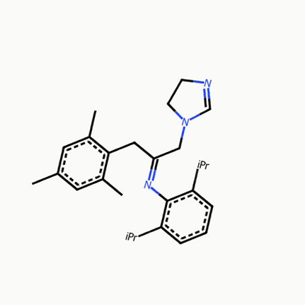 Cc1cc(C)c(CC(CN2C=NCC2)=Nc2c(C(C)C)cccc2C(C)C)c(C)c1